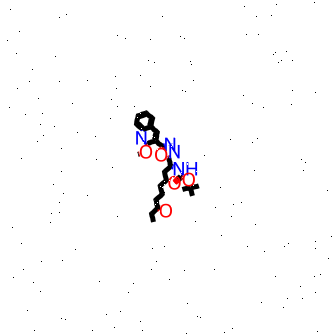 CCC(=O)CCCCCC(NC(=O)OC(C)(C)C)c1nnc(-c2cc3ccccc3nc2OC)o1